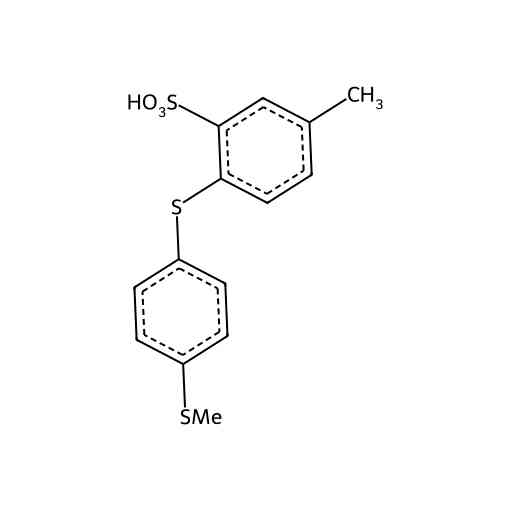 CSc1ccc(Sc2ccc(C)cc2S(=O)(=O)O)cc1